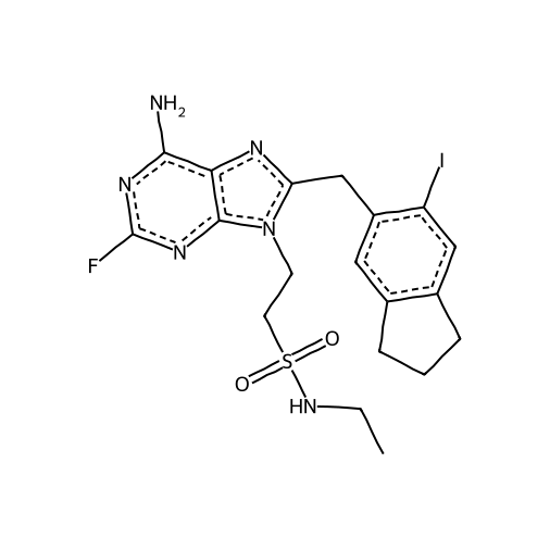 CCNS(=O)(=O)CCn1c(Cc2cc3c(cc2I)CCC3)nc2c(N)nc(F)nc21